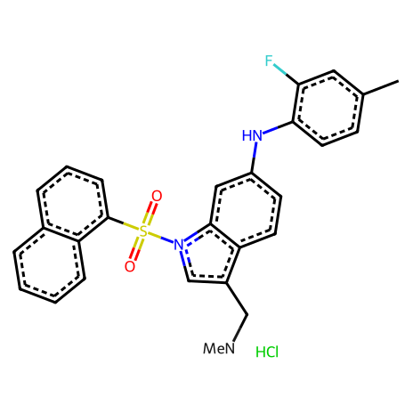 CNCc1cn(S(=O)(=O)c2cccc3ccccc23)c2cc(Nc3ccc(C)cc3F)ccc12.Cl